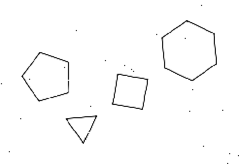 C1CC1.C1CCC1.C1CCCC1.C1CCCCC1